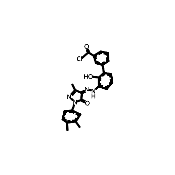 CC1=NN(c2ccc(C)c(C)c2)C(=O)C1=NNc1cccc(-c2cccc(C(=O)Cl)c2)c1O